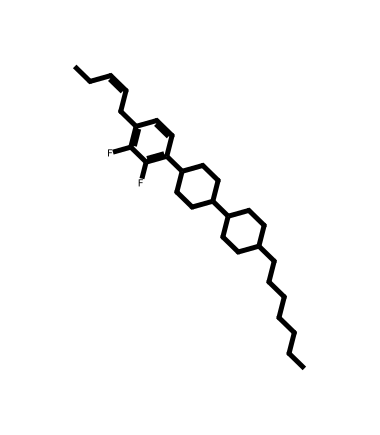 CC/C=C\Cc1ccc(C2CCC(C3CCC(CCCCCCC)CC3)CC2)c(F)c1F